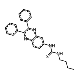 CCCCNC(=S)Nc1ccc2nc(-c3ccccc3)c(-c3ccccc3)nc2c1